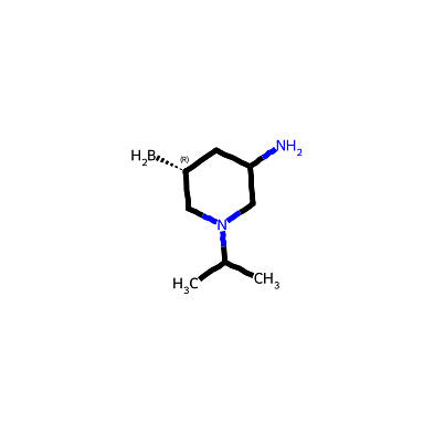 B[C@@H]1CC(N)CN(C(C)C)C1